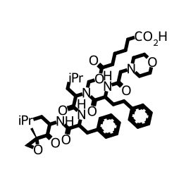 CC(C)CC(NC(=O)C(Cc1ccccc1)NC(=O)C(CC(C)C)N(COC(=O)CCCCC(=O)O)C(=O)C(CCc1ccccc1)NC(=O)CN1CCOCC1)C(=O)[C@@]1(C)CO1